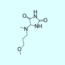 COCCCN(C)C1NC(=O)NC1=O